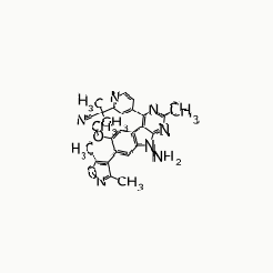 COc1cc2c3c(-c4ccnc(C(C)(C)C#N)c4)nc(C)nc3n(N)c2cc1-c1c(C)noc1C